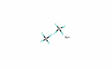 F[B-](F)(F)F.F[B-](F)(F)F.[Fe+2]